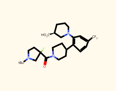 CC(C)(C)N1CC[C@](F)(C(=O)N2CCC(c3ccc(C(F)(F)F)cc3N3CCC[C@H](C(=O)O)C3)CC2)C1